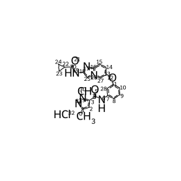 Cc1cc(C(=O)Nc2cccc(Oc3ccc4nc(NC(=O)C5CC5)cn4c3)c2)n(C)n1.Cl